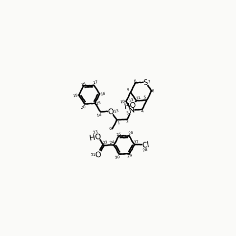 CC(CN1CC2CSCC(C1)C2O)OCc1ccccc1.O=C(O)c1ccc(Cl)cc1